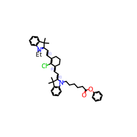 CC[N+]1=C(/C=C/C2=C(Cl)C(=C/C=C3/N(CCCCCC(=O)Oc4ccccc4)c4ccccc4C3(C)C)/CCC2)C(C)(C)c2ccccc21